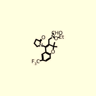 CCON(C=O)CC1=C(N2CCCC2=O)c2cc(C(F)(F)F)ccc2OC1(C)C